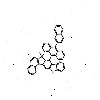 CC1(C)c2ccc3ccccc3c2-c2cc3oc4ccccc4c3c(-c3c4ccccc4c(-c4ccc5ccccc5c4)c4ccccc34)c21